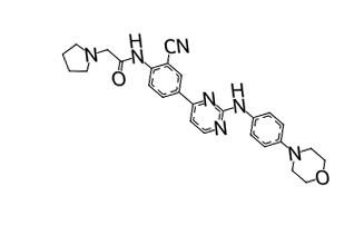 N#Cc1cc(-c2ccnc(Nc3ccc(N4CCOCC4)cc3)n2)ccc1NC(=O)CN1CCCC1